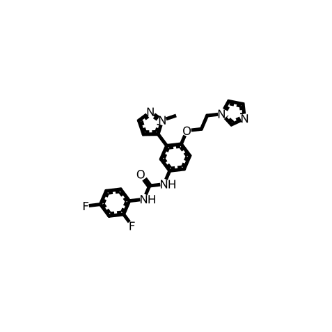 Cn1nccc1-c1cc(NC(=O)Nc2ccc(F)cc2F)ccc1OCCn1ccnc1